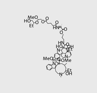 CCC(CO)OC(COC(=O)CCCC(=O)N[C@H](C)C(=O)OCCCNC(=O)[C@]1(O)C2N(C)c3cc(OC)c(C[C@@]4(C(=O)OC)CC(C)CC(O)(CC)CN(C)CCc5c4[nH]c4ccccc54)cc3C23CCN2CC=C[C@](CC)(C23)[C@H]1O)OC